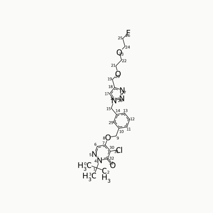 CC(C)(C)n1ncc(OCc2cccc(Cn3cc(COCCOCCF)nn3)c2)c(Cl)c1=O